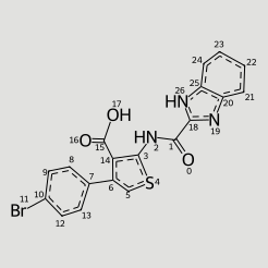 O=C(Nc1scc(-c2ccc(Br)cc2)c1C(=O)O)c1nc2ccccc2[nH]1